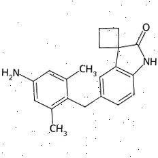 Cc1cc(N)cc(C)c1Cc1ccc2c(c1)C1(CCC1)C(=O)N2